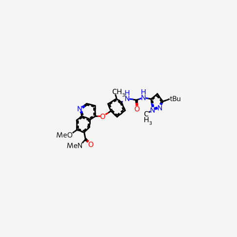 CNC(=O)c1cc2c(Oc3ccc(NC(=O)Nc4cc(C(C)(C)C)nn4C)c(C)c3)ccnc2cc1OC